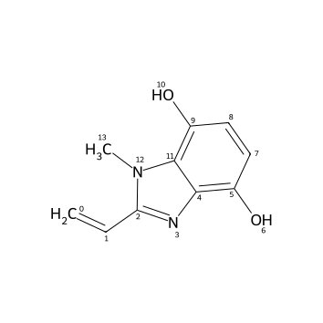 C=Cc1nc2c(O)ccc(O)c2n1C